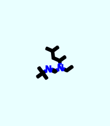 CCN(/C=N/C(C)(C)C)C(C)CC(C)C